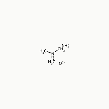 C[NH+](C)C.[NH4+].[O-2]